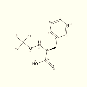 CC(C)(C)ON[C@@H](Cc1cccnc1)C(=O)O